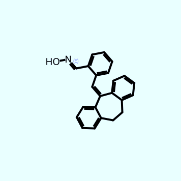 O/N=C/c1ccccc1C=C1c2ccccc2CCc2ccccc21